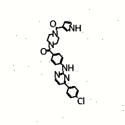 O=C(c1ccc(Nc2nccc(-c3ccc(Cl)cc3)n2)cc1)N1CCN(C(=O)c2cc[nH]c2)CC1